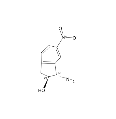 N[C@H]1c2cc([N+](=O)[O-])ccc2C[C@@H]1O